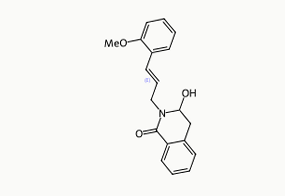 COc1ccccc1/C=C/CN1C(=O)c2ccccc2CC1O